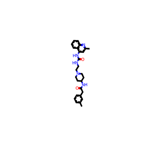 Cc1cccc(CC(=O)NC2CCN(CCNC(=O)Nc3cc(C)nc4ccccc34)CC2)c1